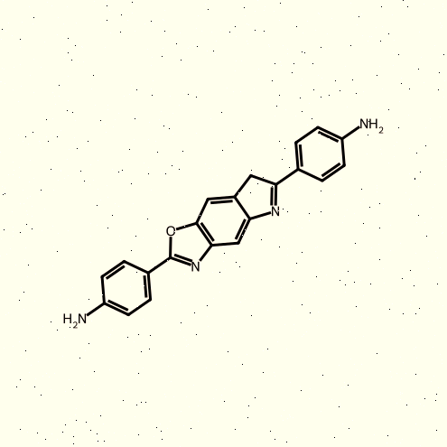 Nc1ccc(C2=Nc3cc4nc(-c5ccc(N)cc5)oc4cc3C2)cc1